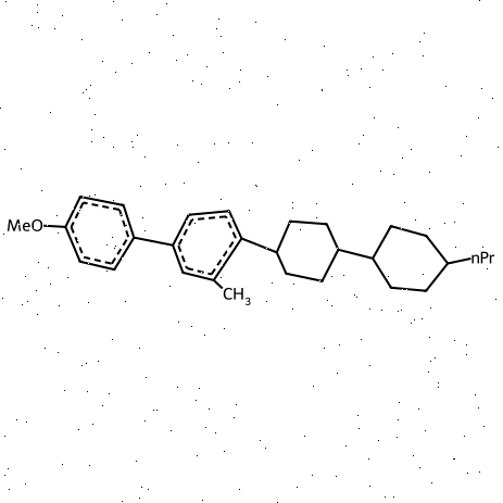 CCCC1CCC(C2CCC(c3ccc(-c4ccc(OC)cc4)cc3C)CC2)CC1